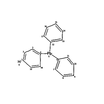 [H-].c1cc[c]([Pb]([c]2ccccc2)[c]2ccccc2)cc1